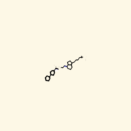 CC(C)(O)CCCCC1CCC2/C(=C/CN/C=C(\N)c3ccc(-c4ccccc4)cc3)CCCC12C